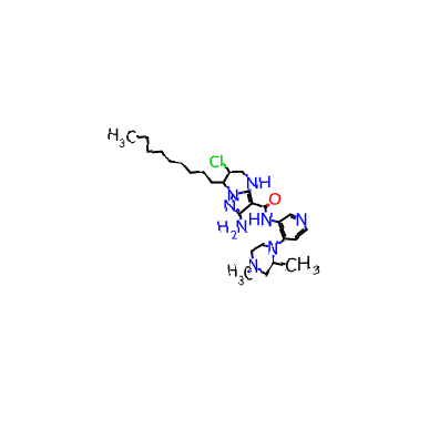 CCCCCCCCCC1C(Cl)CNc2c(C(=O)Nc3cnccc3N3CCN(C)CC3C)c(N)nn21